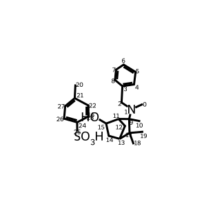 CN(Cc1ccccc1)C1(C)C2CC(CC2O)C1(C)C.Cc1ccc(S(=O)(=O)O)cc1